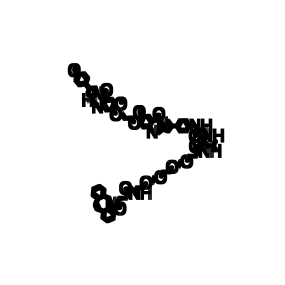 COc1ccc(C2=CN3C(=O)c4cc(OC)c(OCCCOc5cc6c(cc5OC)C(=O)N5C=C(c7ccc(NC(=O)[C@H](C)NC(=O)[C@@H](NC(=O)CCOCCOCCOCCOCCNC(=O)CCC(=O)N8Cc9ccccc9C#Cc9ccccc98)C(C)C)cc7)CC5C=N6)cc4N=C[C@@H]3C2)cc1